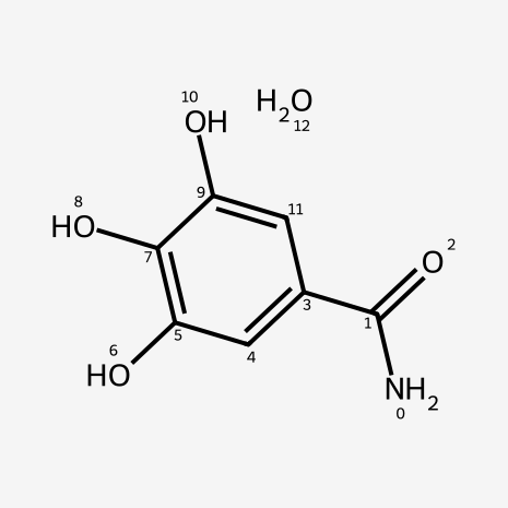 NC(=O)c1cc(O)c(O)c(O)c1.O